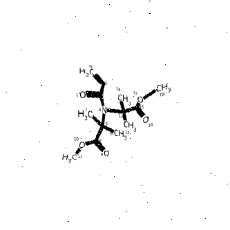 C=CC(=O)N(C(C)(C)C(=O)OC)C(C)(C)C(=O)OC